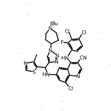 Cc1ncsc1C(Nc1cc(Cl)c2ncc(C#N)c(Nc3ccc(Cl)c(Cl)c3F)c2c1)c1cn(C2CCN(C(C)(C)C)CC2)nn1